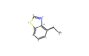 CC(C)Cc1cccc2scnc12